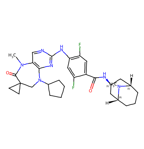 CN1C(=O)C2(CC2)CN(C2CCCC2)c2nc(Nc3cc(F)c(C(=O)N[C@@H]4C[C@H]5CCC[C@@H](C4)N5C)cc3F)ncc21